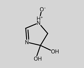 [O-][NH+]1C=NC(O)(O)C1